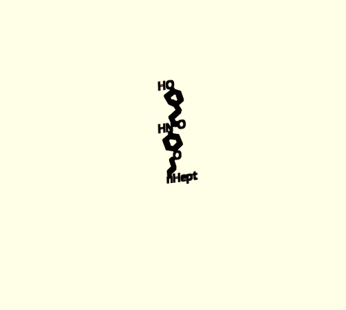 CCCCCCC/C=C/COc1ccc(NC(=O)/C=C/c2ccc(O)cc2)cc1